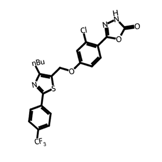 CCCCc1nc(-c2ccc(C(F)(F)F)cc2)sc1COc1ccc(-c2n[nH]c(=O)o2)c(Cl)c1